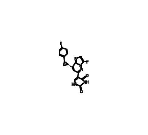 O=c1[nH]cc(-c2cc([C@@H]3C[C@H]3c3ccc(F)cc3)c3ncc(F)n3n2)c(=O)[nH]1